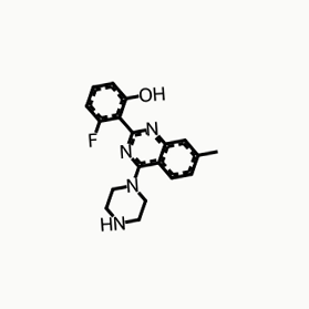 Cc1ccc2c(N3CCNCC3)nc(-c3c(O)cccc3F)nc2c1